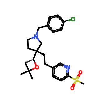 CC1(C)C[C@H]([C@]2(CCc3ccc(S(C)(=O)=O)nc3)CCN(Cc3ccc(Cl)cc3)C2)O1